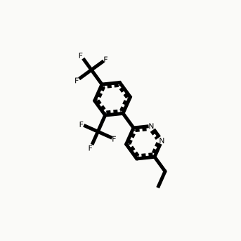 CCc1ccc(-c2ccc(C(F)(F)F)cc2C(F)(F)F)nn1